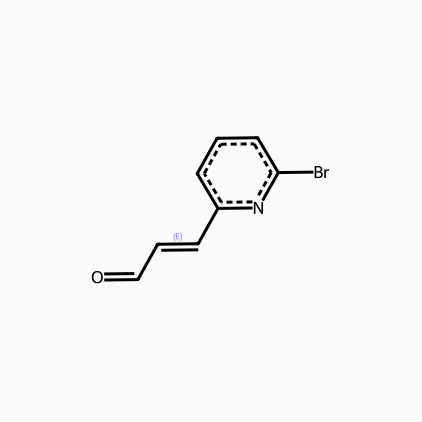 O=C/C=C/c1cccc(Br)n1